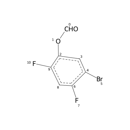 O=COc1cc(Br)c(F)cc1F